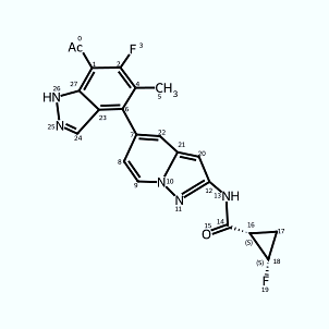 CC(=O)c1c(F)c(C)c(-c2ccn3nc(NC(=O)[C@@H]4C[C@@H]4F)cc3c2)c2cn[nH]c12